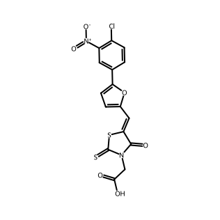 O=C(O)CN1C(=O)C(=Cc2ccc(-c3ccc(Cl)c([N+](=O)[O-])c3)o2)SC1=S